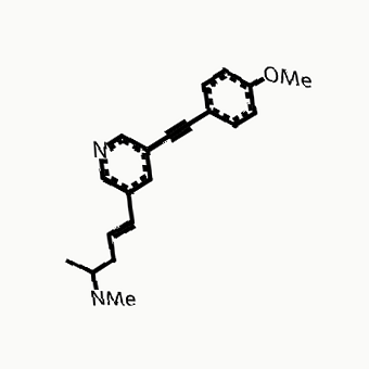 CNC(C)C/C=C/c1cncc(C#Cc2ccc(OC)cc2)c1